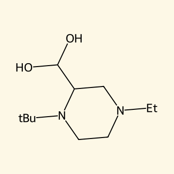 CCN1CCN(C(C)(C)C)C(C(O)O)C1